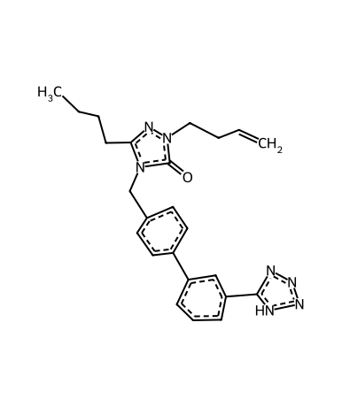 C=CCCn1nc(CCCC)n(Cc2ccc(-c3cccc(-c4nnn[nH]4)c3)cc2)c1=O